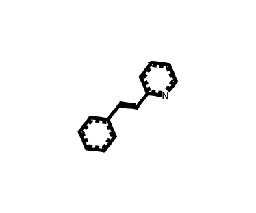 [c]1ccnc(/C=C/c2ccccc2)c1